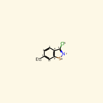 CCc1ccc2c(Cl)nsc2c1